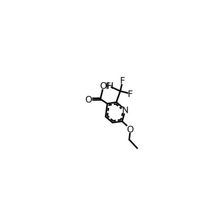 CCOc1ccc(C(=O)O)c(C(F)(F)F)n1